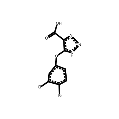 O=C(O)c1nn[nH]c1Oc1ccc(Br)c(Cl)c1